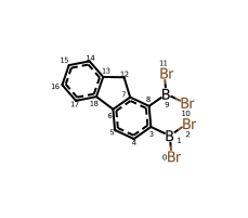 BrB(Br)c1ccc2c(c1B(Br)Br)Cc1ccccc1-2